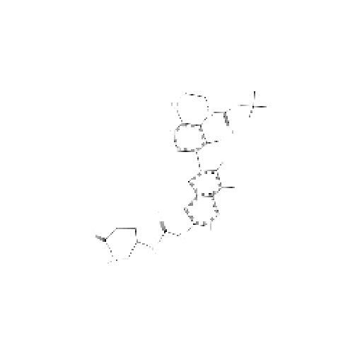 Cc1c(-c2cc3cc(NC(=O)OC4CCC(=O)N(C)C4)ncc3c(Cl)c2F)cnc2c1N(C(=O)OC(C)(C)C)CCO2